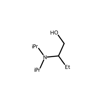 CCC(CO)N(C(C)C)C(C)C